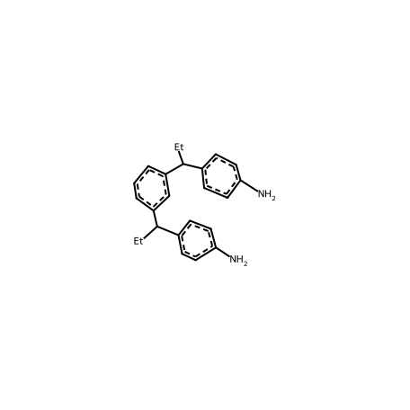 CCC(c1ccc(N)cc1)c1cccc(C(CC)c2ccc(N)cc2)c1